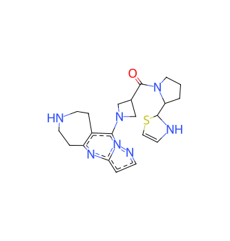 O=C(C1CN(c2c3c(nc4ccnn24)CCNCC3)C1)N1CCCC1C1NC=CS1